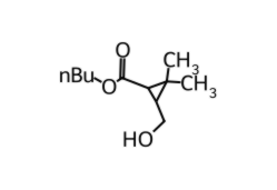 CCCCOC(=O)C1C(CO)C1(C)C